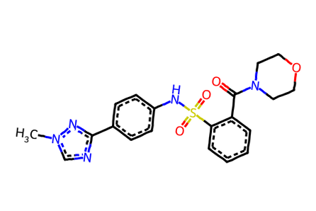 Cn1cnc(-c2ccc(NS(=O)(=O)c3ccccc3C(=O)N3CCOCC3)cc2)n1